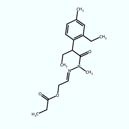 CCC(=O)OCC=NN(C)C(=O)C(CC)c1ccc(C)cc1CC